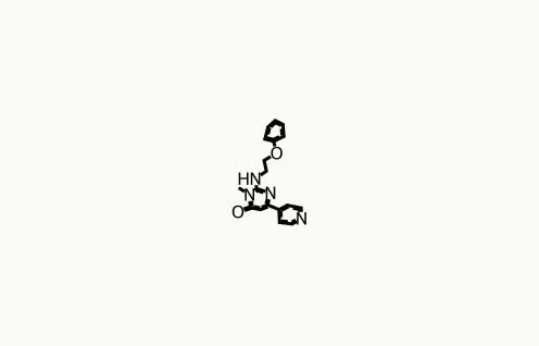 Cn1c(NCCOc2ccccc2)nc(-c2ccncc2)cc1=O